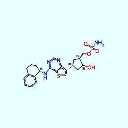 NS(=O)(=O)OC[C@@H]1C[C@@H](c2csc3c(N[C@H]4CCCc5ccccc54)ncnc23)C[C@@H]1O